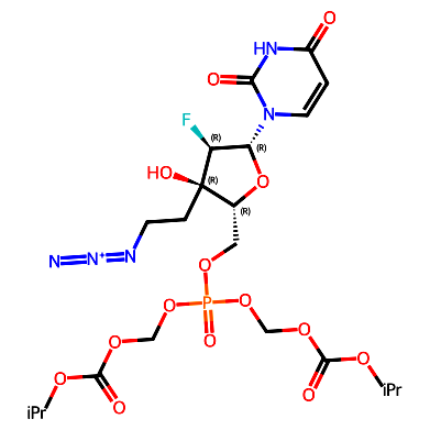 CC(C)OC(=O)OCOP(=O)(OCOC(=O)OC(C)C)OC[C@H]1O[C@@H](n2ccc(=O)[nH]c2=O)[C@H](F)[C@@]1(O)CCN=[N+]=[N-]